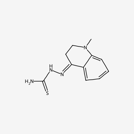 CN1CCC(=NNC(N)=S)c2ccccc21